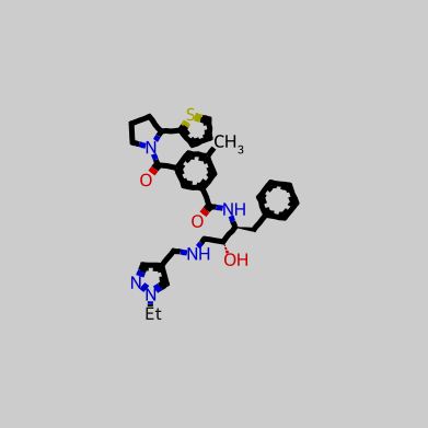 CCn1cc(CNC[C@@H](O)[C@H](Cc2ccccc2)NC(=O)c2cc(C)cc(C(=O)N3CCCC3c3cccs3)c2)cn1